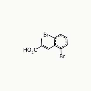 CC(=Cc1c(Br)cccc1Br)C(=O)O